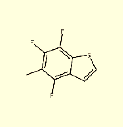 Cc1c(F)c(F)c2sccc2c1F